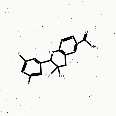 CC1(C)Cc2cc(C(N)=O)ccc2NC1c1cc(F)cc(F)c1